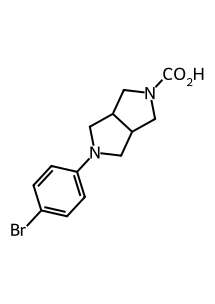 O=C(O)N1CC2CN(c3ccc(Br)cc3)CC2C1